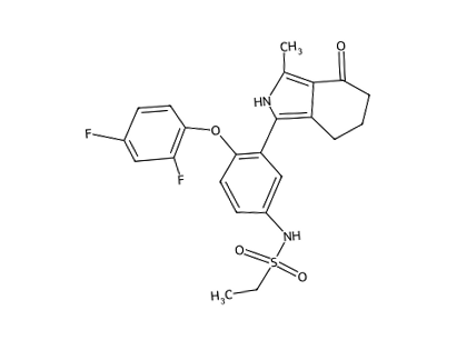 CCS(=O)(=O)Nc1ccc(Oc2ccc(F)cc2F)c(-c2[nH]c(C)c3c2CCCC3=O)c1